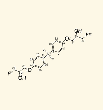 CC(C)(c1ccc(OCC(O)CF)cc1)c1ccc(OCC(O)CF)cc1